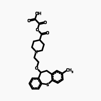 Cc1ccc2c(c1)CC(OCCN1CCC(C(=O)OC(=O)C(=O)O)CC1)c1ccccc1S2